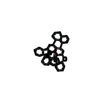 c1ccc2c(c1)Oc1cc(-c3cccc4cccc(-c5cc6c7ccccc7n7c8ccccc8c(c5)c67)c34)cc3c1B2c1ccccc1O3